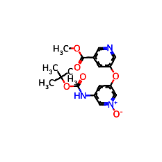 COC(=O)c1cncc(Oc2cc(NC(=O)OC(C)(C)C)c[n+]([O-])c2)c1